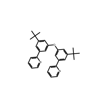 CC(C)(C)c1cc(Oc2cc(-c3ccccn3)cc(C(C)(C)C)c2)cc(-c2ccccn2)c1